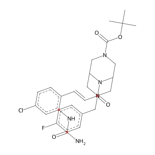 CC(C)(C)OC(=O)N1CC2CN(Cc3ccc(F)cc3)CC(C1)N2C(=O)/C=C/c1ccc(Cl)cc1NC(N)=O